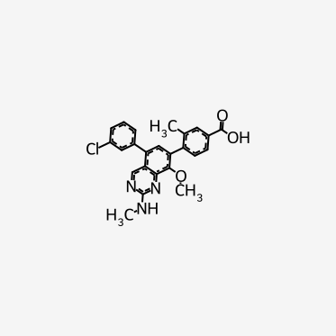 CNc1ncc2c(-c3cccc(Cl)c3)cc(-c3ccc(C(=O)O)cc3C)c(OC)c2n1